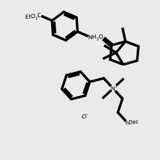 CC12CCC(CC1=O)C2(C)C.CCCCCCCCCCCC[N+](C)(C)Cc1ccccc1.CCOC(=O)c1ccc(N)cc1.[Cl-]